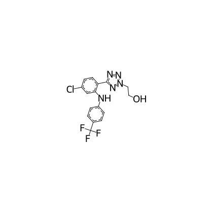 OCCn1nnc(-c2ccc(Cl)cc2Nc2ccc(C(F)(F)F)cc2)n1